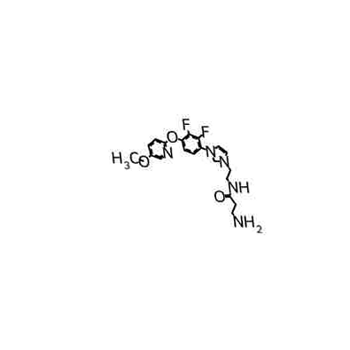 COc1ccc(Oc2ccc(N3C=CN(CCNC(=O)CCN)C3)c(F)c2F)nc1